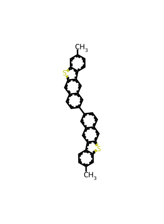 Cc1ccc2c(c1)sc1cc3ccc(-c4ccc5cc6sc7cc(C)ccc7c6cc5c4)cc3cc12